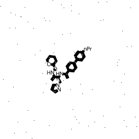 C=C(N[C@@H](Cn1cccn1)C(=C)NOC1CCCCO1)c1ccc(-c2ccc(CCC)cc2)cc1